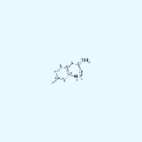 Cc1ccc(CC(N)=O)c(N)c1